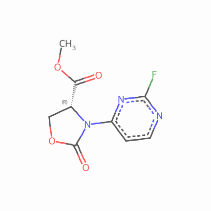 COC(=O)[C@H]1COC(=O)N1c1ccnc(F)n1